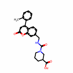 Cc1ccccc1-c1cc(=O)oc2cc(CNC(=O)N3CCCC(C(=O)O)C3)ccc12